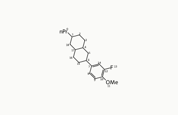 CCCC1CCC2CC(c3ccc(OC)c(F)c3)CCC2C1